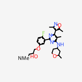 CNC[C@H](O)COc1ccc(F)c(-c2nc(NC3CCOC(C)C3)c(C)c(-c3c(C)noc3C)n2)c1